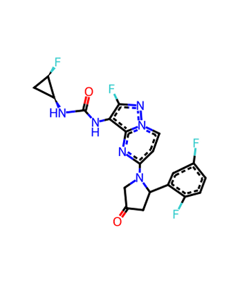 O=C1CC(c2cc(F)ccc2F)N(c2ccn3nc(F)c(NC(=O)N[C@H]4C[C@H]4F)c3n2)C1